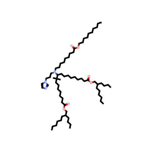 CCCCCCCCCCOC(=O)CCCCCCCCN(CCCn1ccnc1)C(CCCCCCCCC(=O)OCC(CCCC)CCCCCC)C(C)(C)CCCCCCCC(=O)OCC(CCCC)CCCCCC